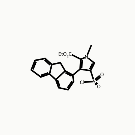 CCOC(=O)c1c(-c2cccc3c2Cc2ccccc2-3)c(S(=O)(=O)Cl)cn1C